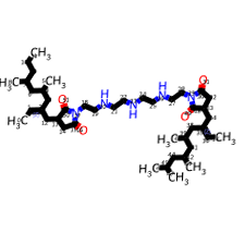 C/C=C(/CC(C)CC(C)CCC)CC1CC(=O)N(CCNCCNCCNCCN2C(=O)CC(C/C(=C\C)CC(C)CC(C)CC(C)C)C2=O)C1=O